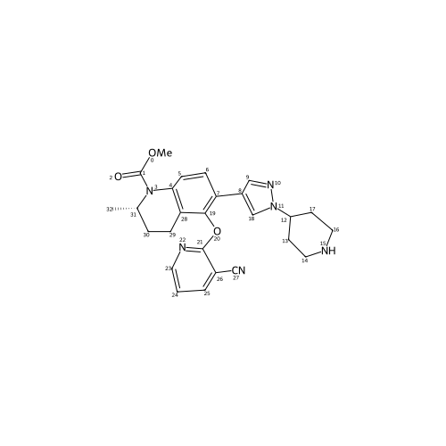 COC(=O)N1c2ccc(-c3cnn(C4CCNCC4)c3)c(Oc3ncccc3C#N)c2CC[C@@H]1C